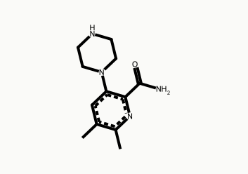 Cc1cc(N2CCNCC2)c(C(N)=O)nc1C